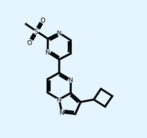 CS(=O)(=O)c1nccc(-c2ccn3ncc(C4CCC4)c3n2)n1